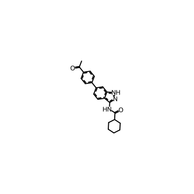 CC(=O)c1ccc(-c2ccc3c(NC(=O)C4CCCCC4)n[nH]c3c2)cc1